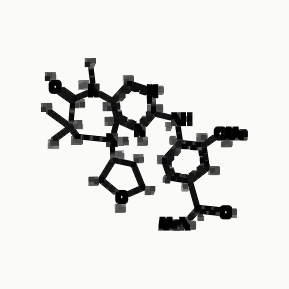 CNC(=O)c1ccc(Nc2ncc3c(n2)N(C2CCOC2)CC(C)(C)C(=O)N3C)c(OC)c1